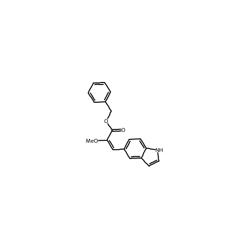 CO/C(=C/c1ccc2[nH]ccc2c1)C(=O)OCc1ccccc1